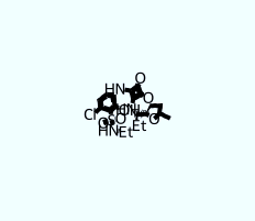 CCNS(=O)(=O)c1c(Cl)ccc(Nc2c(N[C@H](CC)[C@H]3CCC(C)O3)c(=O)c2=O)c1O